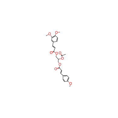 COc1ccc(/C=C/C(=O)OCC(COC(=O)/C=C/c2ccc(OC)c(OC)c2)OC(C)=O)cc1